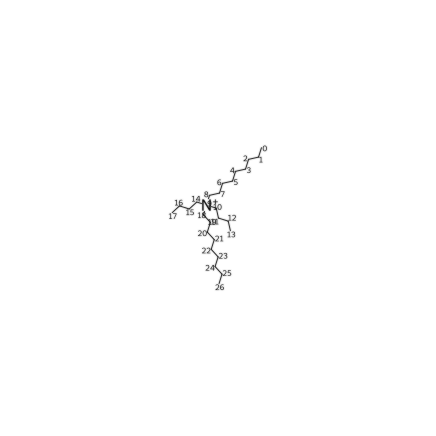 CCCCCCCCC[N+](CCCC)(CCCC)CCCCCCCCC